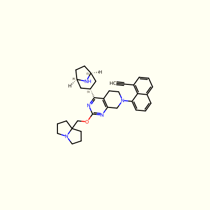 C#Cc1cccc2cccc(N3CCc4c(nc(OCC56CCCN5CCC6)nc4[C@@H]4C[C@H]5CC[C@@H](C4)N5)C3)c12